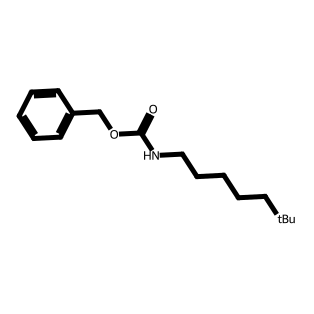 CC(C)(C)CCCCCNC(=O)OCc1ccccc1